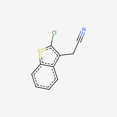 N#CCc1c(Cl)sc2ccccc12